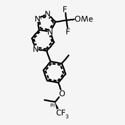 COC(F)(F)c1nnc2cnc(-c3ccc(O[C@H](C)C(F)(F)F)cc3C)cn12